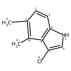 Cc1ccc2[nH]cc(Cl)c2c1C